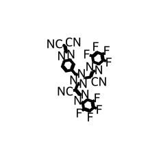 N#CC(C#N)=C1N=c2ccc(-c3nc(C(C#N)=C4N=c5c(F)c(F)c(F)c(F)c5=N4)nc(C(C#N)=C4N=c5c(F)c(F)c(F)c(F)c5=N4)n3)cc2=N1